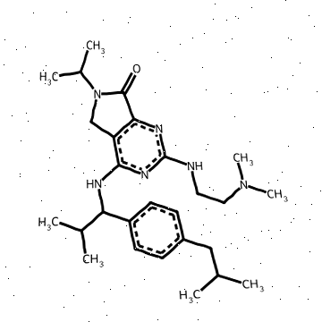 CC(C)Cc1ccc(C(Nc2nc(NCCN(C)C)nc3c2CN(C(C)C)C3=O)C(C)C)cc1